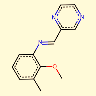 COc1c(C)cccc1N=Cc1cnccn1